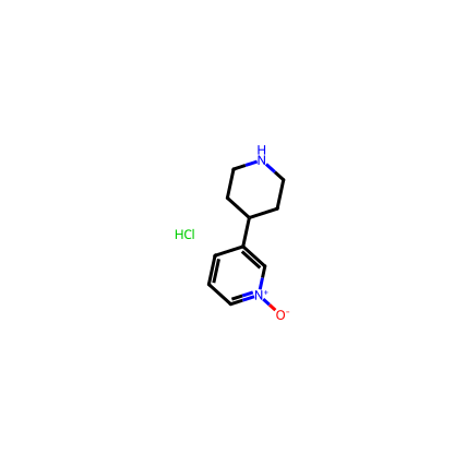 Cl.[O-][n+]1cccc(C2CCNCC2)c1